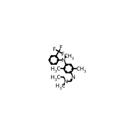 CCN(C)/C=N\c1cc(C)c(N(C)c2ccccc2C(F)(F)F)cc1C